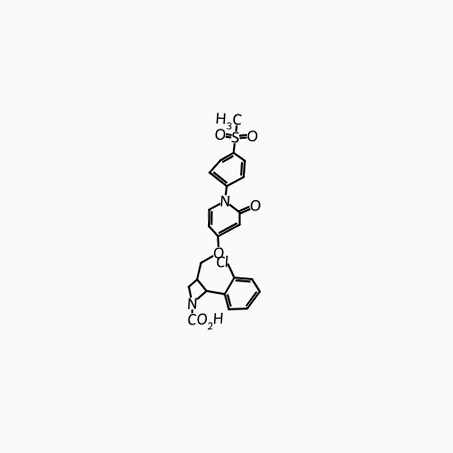 CS(=O)(=O)c1ccc(-n2ccc(OCC3CN(C(=O)O)C3c3ccccc3Cl)cc2=O)cc1